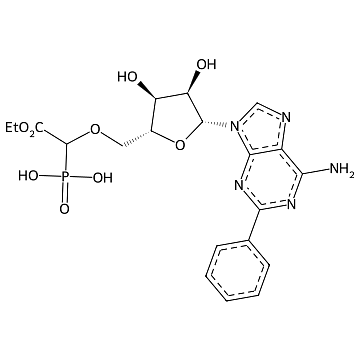 CCOC(=O)C(OC[C@H]1O[C@@H](n2cnc3c(N)nc(-c4ccccc4)nc32)[C@H](O)[C@@H]1O)P(=O)(O)O